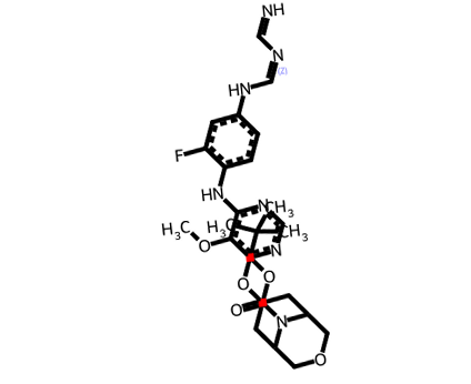 COc1c(Nc2ccc(N/C=N\C=N)cc2F)ncnc1OC1CC2COCC(C1)N2C(=O)OCC(C)(C)C